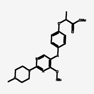 CCCCOc1nc(N2CCN(C)CC2)ncc1Sc1ccc(OC(C)C(=O)OC)cc1